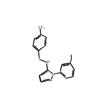 Cc1ccnc(-n2nccc2NSc2ccc(C(F)(F)F)cc2)c1